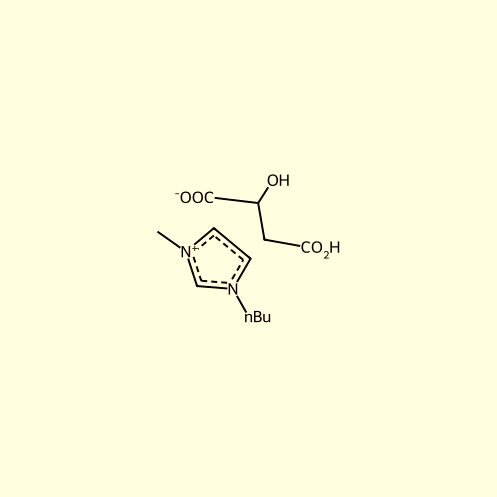 CCCCn1cc[n+](C)c1.O=C(O)CC(O)C(=O)[O-]